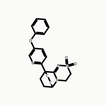 O=S1(=O)CCN2C(=N1)C1(c3ccc(Oc4ccccc4)cn3)CCC2CC1